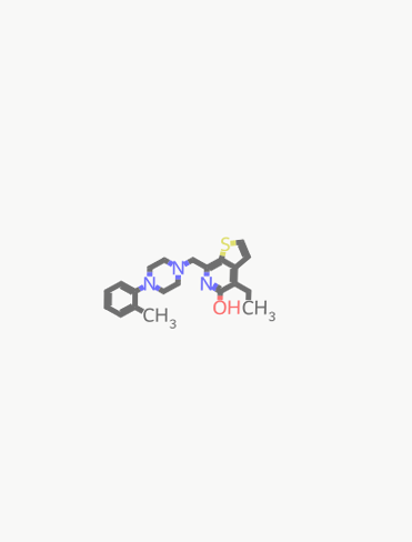 CCc1c(O)nc(CN2CCN(c3ccccc3C)CC2)c2sccc12